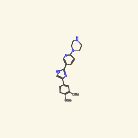 COc1ccc(-c2c[nH]c(-c3ccc(N4CCNCC4)nc3)n2)cc1OC